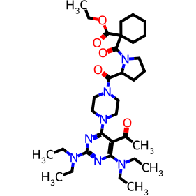 CCOC(=O)C1(C(=O)N2CCCC2C(=O)N2CCN(c3nc(N(CC)CC)nc(N(CC)CC)c3C(C)=O)CC2)CCCCC1